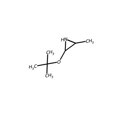 CC1NC1OC(C)(C)C